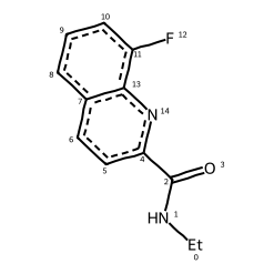 CCNC(=O)c1ccc2cccc(F)c2n1